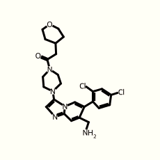 NCc1cc2ncc(N3CCN(C(=O)CC4CCOCC4)CC3)n2cc1-c1ccc(Cl)cc1Cl